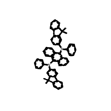 CC1(C)c2ccccc2-c2ccc(N(c3ccccc3)c3c4ccccc4c(N(c4ccccc4)c4ccc5c(c4)C(C)(C)c4ccccc4-5)c4ccccc34)cc21